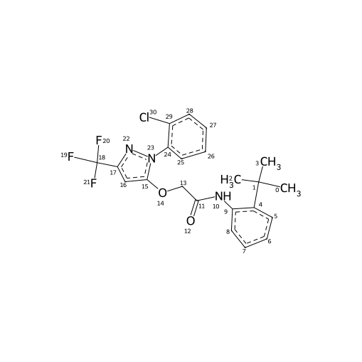 CC(C)(C)c1ccccc1NC(=O)COc1cc(C(F)(F)F)nn1-c1ccccc1Cl